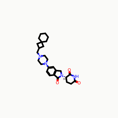 O=C1CC[C@H](N2Cc3cc(N4CCN(CC5CC6(CCCCC6)C5)CC4)ccc3C2=O)C(=O)N1